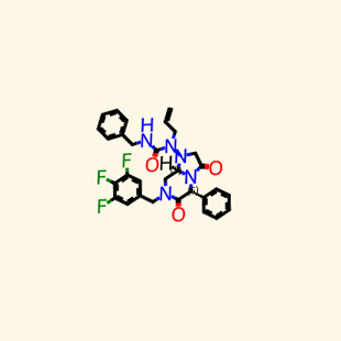 C=CCN(C(=O)NCc1ccccc1)N1CC(=O)N2[C@@H](c3ccccc3)C(=O)N(Cc3cc(F)c(F)c(F)c3)C[C@@H]21